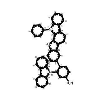 N#Cc1ccc(-c2ccc3oc4c(ccc5c6ccccc6n(-c6ccccc6)c54)c3c2)c(-n2c3ccccc3c3ccccc32)c1